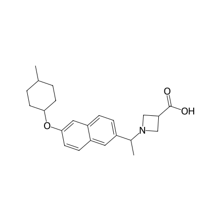 CC1CCC(Oc2ccc3cc(C(C)N4CC(C(=O)O)C4)ccc3c2)CC1